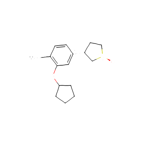 COc1ccc([C@@H]2CC[S@@+]([O-])C2)cc1OC1CCCC1